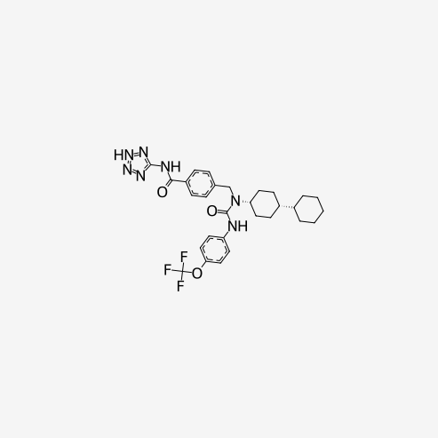 O=C(Nc1nn[nH]n1)c1ccc(CN(C(=O)Nc2ccc(OC(F)(F)F)cc2)[C@H]2CC[C@@H](C3CCCCC3)CC2)cc1